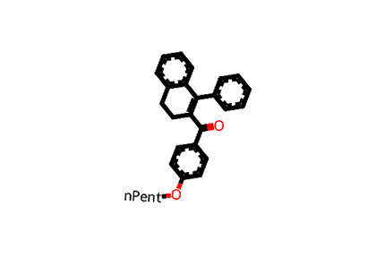 CCCCCOc1ccc(C(=O)C2=C(c3ccccc3)c3ccccc3CC2)cc1